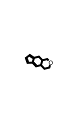 C1=CC2=CC3CCOCC3CC2=C1